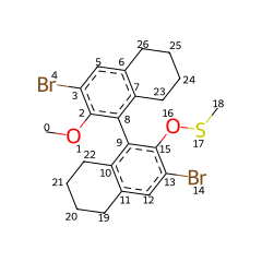 COc1c(Br)cc2c(c1-c1c3c(cc(Br)c1OSC)CCCC3)CCCC2